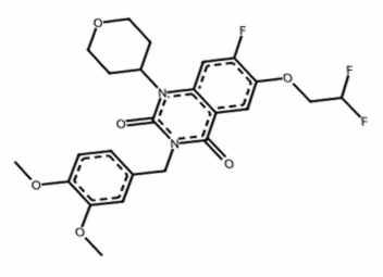 COc1ccc(Cn2c(=O)c3cc(OCC(F)F)c(F)cc3n(C3CCOCC3)c2=O)cc1OC